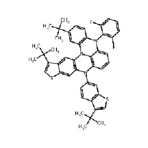 CC(C)(C)c1ccc2c(c1)B1c3cc4c(C(C)(C)C)csc4cc3N(c3ccc4c(C(C)(C)C)csc4c3)c3cccc(c31)N2c1c(F)cccc1F